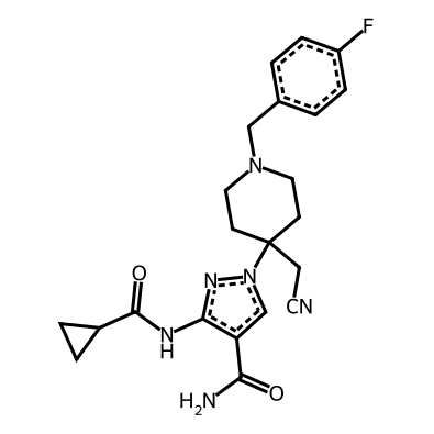 N#CCC1(n2cc(C(N)=O)c(NC(=O)C3CC3)n2)CCN(Cc2ccc(F)cc2)CC1